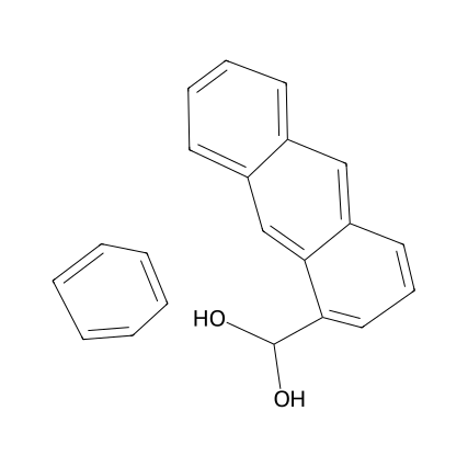 OC(O)c1cccc2cc3ccccc3cc12.c1ccccc1